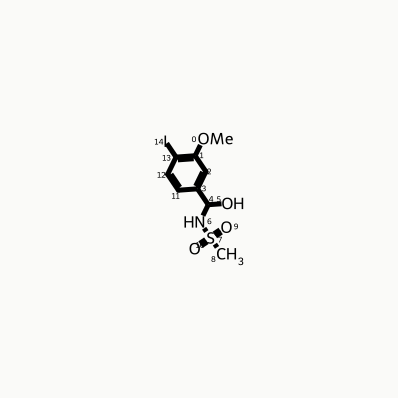 COc1cc(C(O)NS(C)(=O)=O)ccc1I